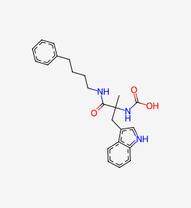 CC(Cc1c[nH]c2ccccc12)(NC(=O)O)C(=O)NCCCCc1ccccc1